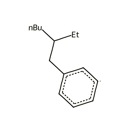 CCCCC(CC)Cc1c[c]ccc1